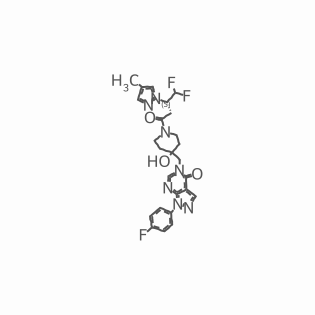 Cc1cnn([C@@H](CC(=O)N2CCC(O)(Cn3cnc4c(cnn4-c4ccc(F)cc4)c3=O)CC2)C(F)F)c1